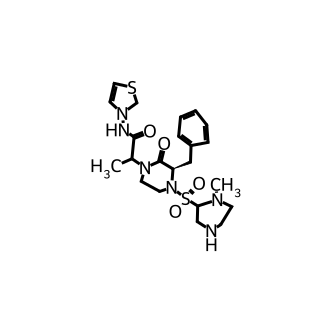 CC(C(=O)NN1C=CSC1)N1CCN(S(=O)(=O)C2CNCCN2C)[C@H](Cc2ccccc2)C1=O